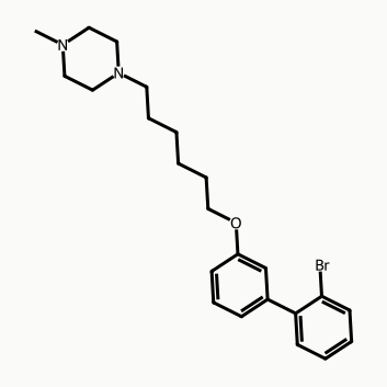 CN1CCN(CCCCCCOc2cccc(-c3ccccc3Br)c2)CC1